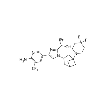 CC(C)C(O)c1nc(-c2cnc(N)c(C(F)(F)F)c2)cn1C1CC2CC(N3CCC(F)(F)CC3)(C2)C1